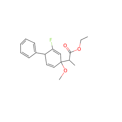 CCOC(=O)C(C)C1(OC)C=CC(c2ccccc2)C(F)=C1